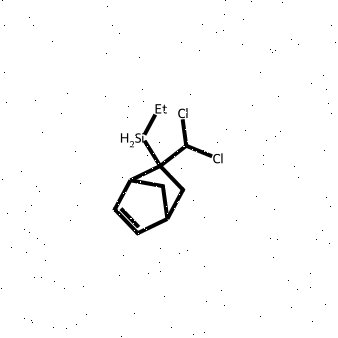 CC[SiH2]C1(C(Cl)Cl)CC2C=CC1C2